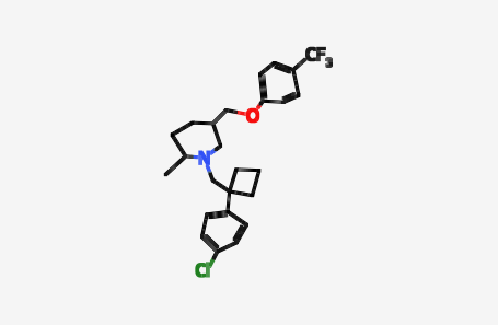 CC1CCC(COc2ccc(C(F)(F)F)cc2)CN1CC1(c2ccc(Cl)cc2)CCC1